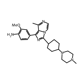 COc1cc(-c2nc(C3CCC(N4CCN(C)CC4)CC3)n3ccnc(C)c23)ccc1N